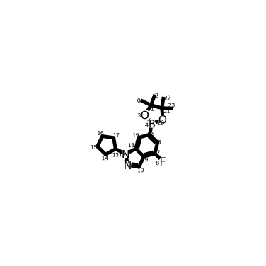 CC1(C)OB(c2cc(F)c3cnn(C4CCCC4)c3c2)OC1(C)C